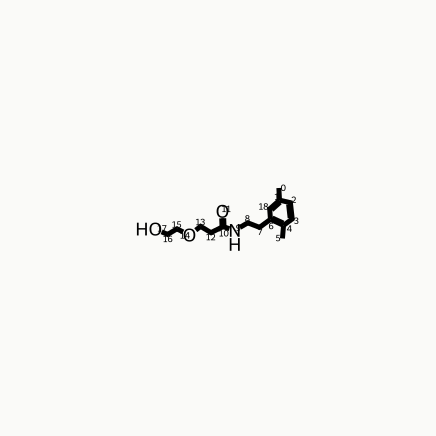 Cc1ccc(C)c(CCNC(=O)CCOCCO)c1